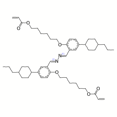 C=CC(=O)OCCCCCCOc1ccc(C2CCC(CCC)CC2)cc1/C=N/N=C/c1cc(C2CCC(CCC)CC2)ccc1OCCCCCCOC(=O)C=C